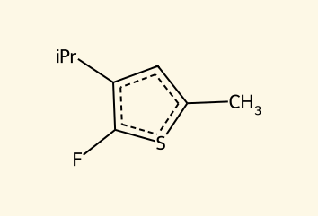 Cc1cc(C(C)C)c(F)s1